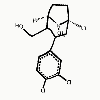 CN1[C@H]2CC[C@@H]1C(CO)C(c1ccc(Cl)c(Cl)c1)C2